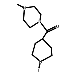 CN1CCN(C(=O)C2CCN(I)CC2)CC1